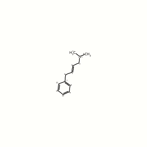 CN(C)CC=CCc1ccccc1